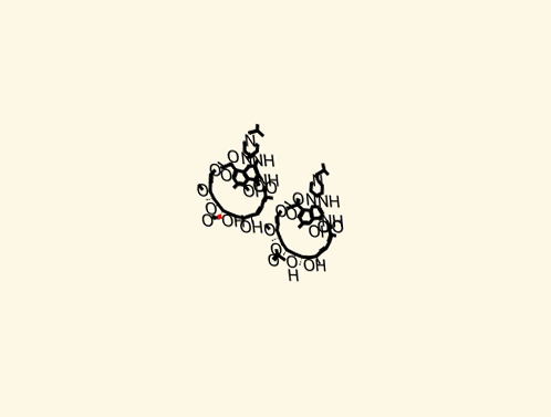 CO[C@@H]1/C=C\O[C@@]2(C)Oc3c(C)c(O)c4c(c3C2=O)C2=NC3(CCN(CC(C)C)CC3)NC2=C(NC(=O)/C(C)=C\C=C/[C@@H](C)[C@@H](O)[C@H](C)[C@H](O)[C@H](C)[C@H](OC(C)=O)[C@@H]1C)C4=O.CO[C@@H]1/C=C\O[C@@]2(C)Oc3c(C)c(O)c4c(c3C2=O)C2=NC3(CCN(CC(C)C)CC3)NC2=C(NC(=O)/C(C)=C\C=C/[C@@H](C)[C@@H](O)[C@H](C)[C@H](O)[C@H](C)[C@H](OC(C)=O)[C@@H]1C)C4=O